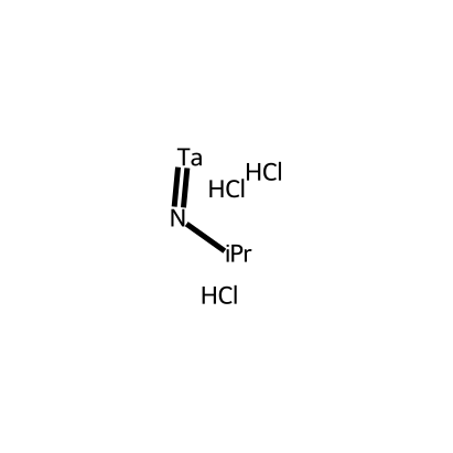 CC(C)[N]=[Ta].Cl.Cl.Cl